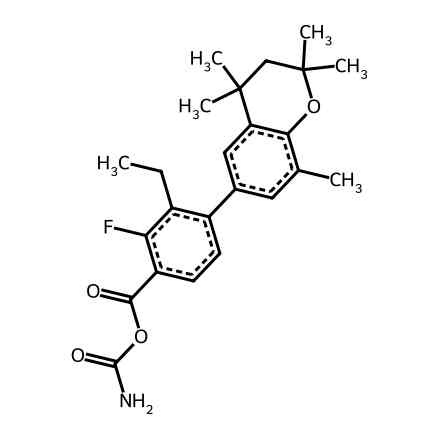 CCc1c(-c2cc(C)c3c(c2)C(C)(C)CC(C)(C)O3)ccc(C(=O)OC(N)=O)c1F